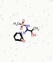 CC(O)C(N)NS(C)(=O)=O.c1ccc2c(c1)O2